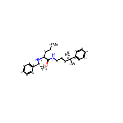 CSCC[C@H](N[C@H](C)c1ccccc1)C(=O)NCCC[C@@](C#N)(c1ccccc1)C(C)C